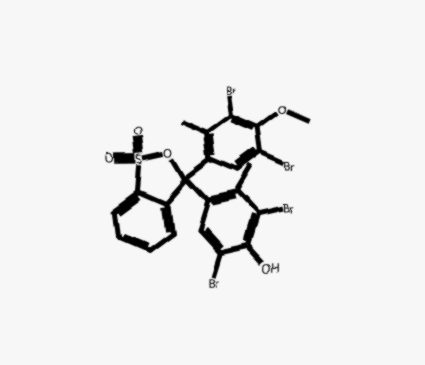 COc1c(Br)cc(C2(c3cc(Br)c(O)c(Br)c3C)OS(=O)(=O)c3ccccc32)c(C)c1Br